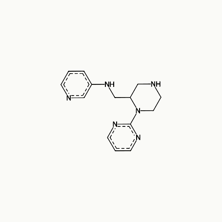 c1cnc(N2CCNCC2CNc2cccnc2)nc1